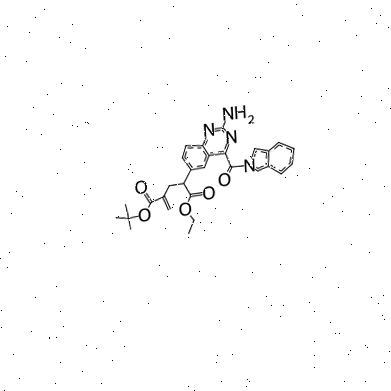 C=C(CC(C(=O)OCC)c1ccc2nc(N)nc(C(=O)n3cc4ccccc4c3)c2c1)C(=O)OC(C)(C)C